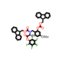 COc1ccc(CN(C(=O)OCC2c3ccccc3-c3ccccc32)[C@H](C(=O)Oc2c(F)c(F)c(F)c(F)c2F)C(C)C)c(OC(=O)OCC2c3ccccc3-c3ccccc32)c1